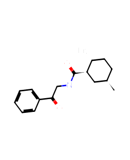 CC(C)[C@@H]1CC[C@@H](C)C[C@H]1C(=O)NCC(=O)c1ccccc1